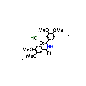 CCC(NC(CC)c1ccc(OC)c(OC)c1)c1ccc(OC)c(OC)c1.Cl